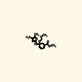 COCOC1(Nc2nc(C)c(C)s2)C=CC=C(C(=O)OC)C1